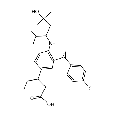 CCC(CC(=O)O)c1ccc(NC(CC(C)(C)O)C(C)C)c(Nc2ccc(Cl)cc2)c1